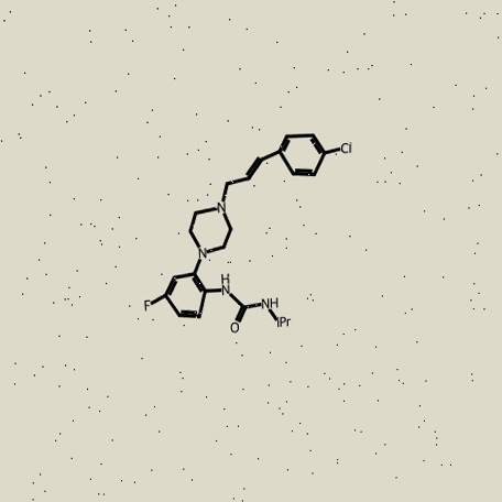 CC(C)NC(=O)Nc1ccc(F)cc1N1CCN(CC=Cc2ccc(Cl)cc2)CC1